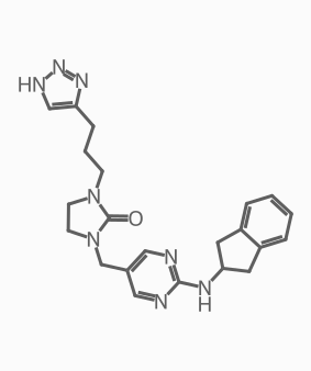 O=C1N(CCCc2c[nH]nn2)CCN1Cc1cnc(NC2Cc3ccccc3C2)nc1